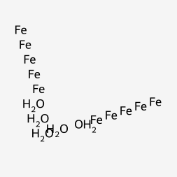 O.O.O.O.O.[Fe].[Fe].[Fe].[Fe].[Fe].[Fe].[Fe].[Fe].[Fe].[Fe]